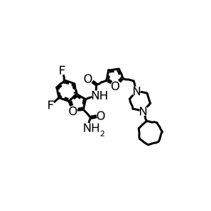 NC(=O)c1oc2c(F)cc(F)cc2c1NC(=O)c1ccc(CN2CCN(C3CCCCCC3)CC2)o1